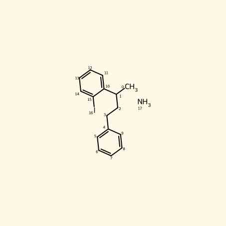 CC(CCc1ccccc1)c1ccccc1I.N